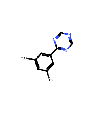 CC(C)(C)c1cc(-c2ncncn2)cc(C(C)(C)C)c1